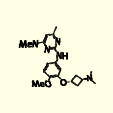 CNc1cc(C)nc(Nc2ccc(OC)c(O[C@H]3C[C@H](N(C)C)C3)c2)n1